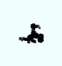 CC#CC(=O)N1CCN(c2nc(OC[C@@H]3CCCN3C)nc3c2CCC(N2CCCc4ccccc42)C3)C[C@@H]1CC#N